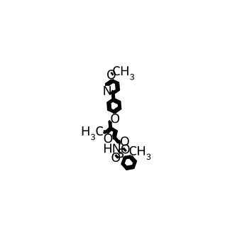 COc1ccc(-c2ccc(OCc3cc(C(=O)NS(=O)(=O)C4CC=CC=C4C)oc3C)cc2)nc1